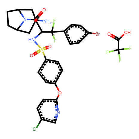 NC1CC2CCC(C1)N2C(=O)C(NS(=O)(=O)c1ccc(Oc2ccc(Cl)cn2)cc1)C(F)(F)c1ccc(Br)cc1.O=C(O)C(F)(F)F